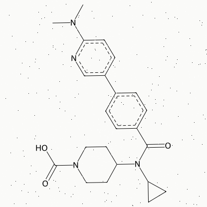 CN(C)c1ccc(-c2ccc(C(=O)N(C3CC3)C3CCN(C(=O)O)CC3)cc2)cn1